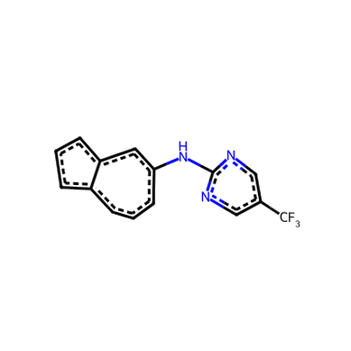 FC(F)(F)c1cnc(Nc2cccc3cccc-3c2)nc1